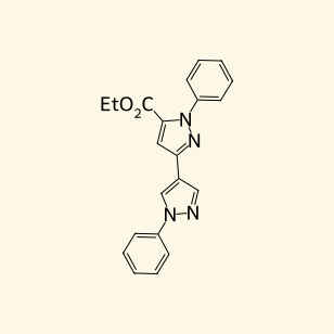 CCOC(=O)c1cc(-c2cnn(-c3ccccc3)c2)nn1-c1ccccc1